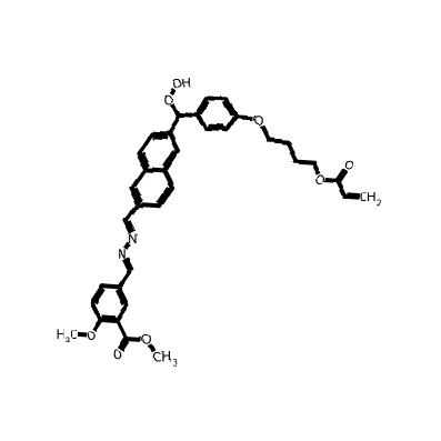 C=CC(=O)OCCCCOc1ccc(C(OO)c2ccc3cc(/C=N/N=C/c4ccc(OC)c(C(=O)OC)c4)ccc3c2)cc1